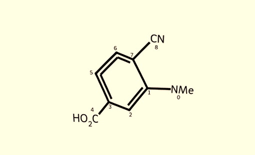 CNC1=CC(C(=O)O)=C=C=C1C#N